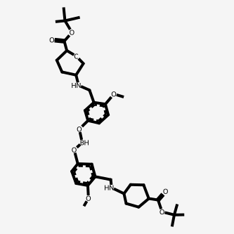 COc1ccc(OBOc2ccc(OC)c(CNC3CCC(C(=O)OC(C)(C)C)CC3)c2)cc1CNC1CCC(C(=O)OC(C)(C)C)CC1